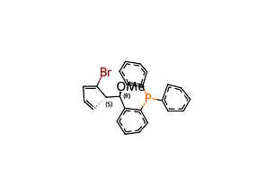 CO[C@@H](c1ccccc1P(c1ccccc1)c1ccccc1)[C@@H]1C=CC=C1Br